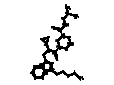 COCCCn1cc(CN(C(=O)[C@H]2CNC[C@@H](C(=O)NCC(C)C)C2)C2CC2)c2ccccc21